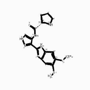 COc1cc2nc(-c3n[nH]cc3NC(=O)[C@@H]3CCCN3)[nH]c2cc1OC